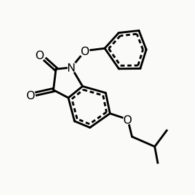 CC(C)COc1ccc2c(c1)N(Oc1ccccc1)C(=O)C2=O